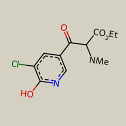 CCOC(=O)C(NC)C(=O)c1cnc(O)c(Cl)c1